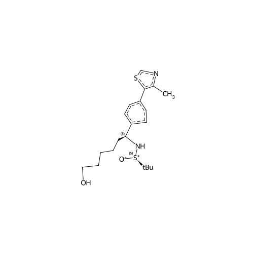 Cc1ncsc1-c1ccc([C@H](CCCCCO)N[S@+]([O-])C(C)(C)C)cc1